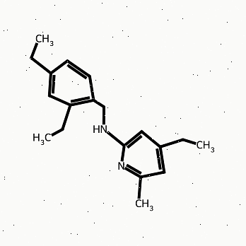 CCc1cc(C)nc(NCc2ccc(CC)cc2CC)c1